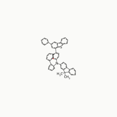 CC1(C)c2ccccc2-c2ccc(N(c3ccc(-c4cc(-c5ccccc5)cc5c4sc4ccccc45)cc3)c3ccccc3-c3ccccc3)cc21